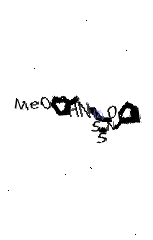 COc1ccc(CN/C=C2\SC(=S)N(Cc3ccccc3)C2=O)cc1